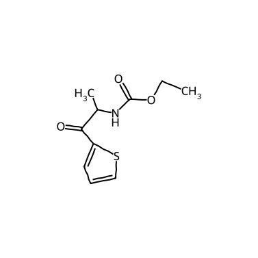 CCOC(=O)NC(C)C(=O)c1cccs1